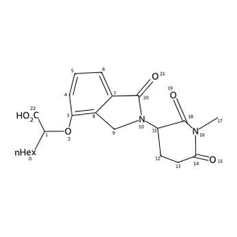 CCCCCCC(Oc1cccc2c1CN(C1CCC(=O)N(C)C1=O)C2=O)C(=O)O